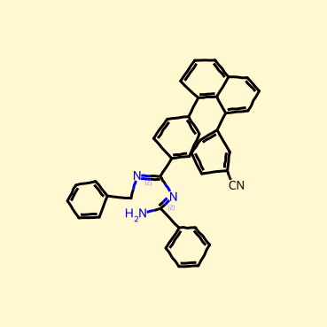 N#Cc1cccc(-c2cccc3cccc(-c4ccc(C(/N=C(\N)c5ccccc5)=N/Cc5ccccc5)cc4)c23)c1